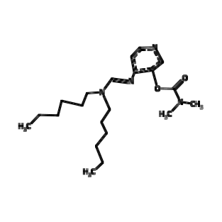 CCCCCCN(/C=N/c1ccncc1OC(=O)N(C)C)CCCCCC